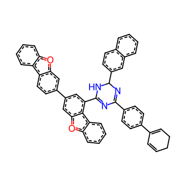 C1=CC(c2ccc(C3=NC(c4ccc5ccccc5c4)NC(c4cc(-c5ccc6c(c5)oc5ccccc56)cc5oc6ccccc6c45)=N3)cc2)=CCC1